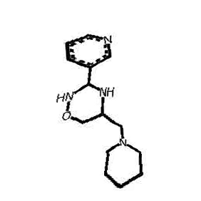 c1cncc(C2NOCC(CN3CCCCC3)N2)c1